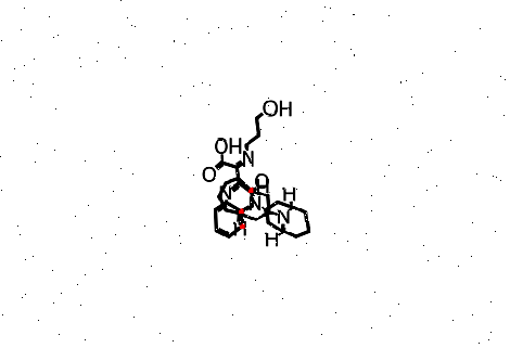 O=C(O)/C(=N\CCCO)c1nc2ccccc2n([C@H]2C[C@H]3CCC[C@@H](C2)N3C2C[C@H]3CCCC[C@@H](C2)C3)c1=O